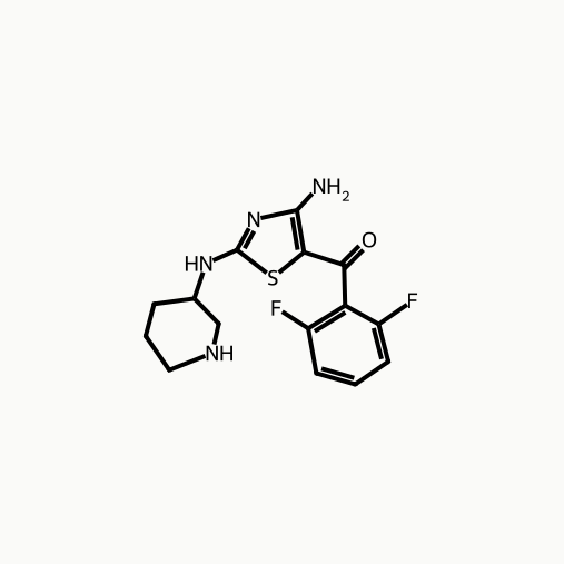 Nc1nc(NC2CCCNC2)sc1C(=O)c1c(F)cccc1F